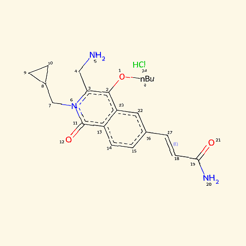 CCCCOc1c(CN)n(CC2CC2)c(=O)c2ccc(/C=C/C(N)=O)cc12.Cl